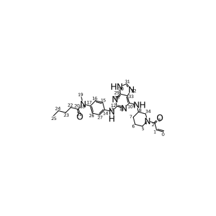 C=CC(=O)N1CCCC(Nc2nc(Nc3ccc(N(C)C(=O)CCCC)cc3)nc3[nH]cnc23)C1